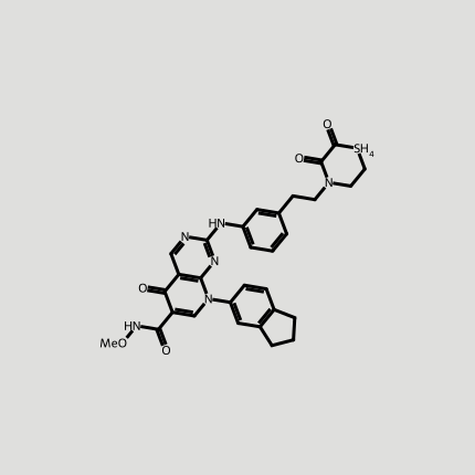 CONC(=O)c1cn(-c2ccc3c(c2)CCC3)c2nc(Nc3cccc(CCN4CC[SH4]C(=O)C4=O)c3)ncc2c1=O